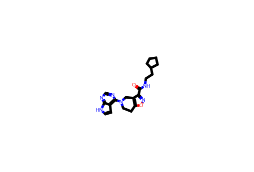 O=C(NCCC1CCCC1)c1noc2c1CN(c1ncnc3[nH]ccc13)CC2